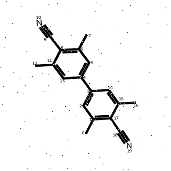 Cc1cc(-c2cc(C)c(C#N)c(C)c2)cc(C)c1C#N